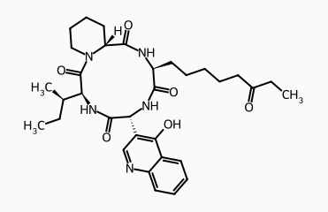 CCC(=O)CCCCC[C@@H]1NC(=O)[C@H]2CCCCN2C(=O)[C@H]([C@H](C)CC)NC(=O)[C@@H](c2cnc3ccccc3c2O)NC1=O